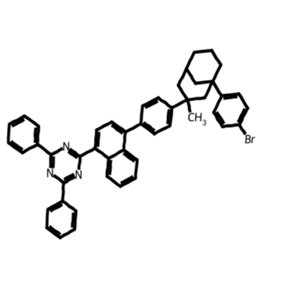 CC1(c2ccc(-c3ccc(-c4nc(-c5ccccc5)nc(-c5ccccc5)n4)c4ccccc34)cc2)CC2CCCC(c3ccc(Br)cc3)(C2)C1